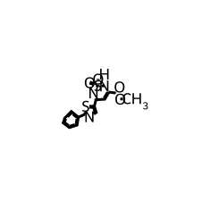 COC(=O)C1=CC(c2cnc(-c3ccccc3)s2)=NS(=O)(=O)N1